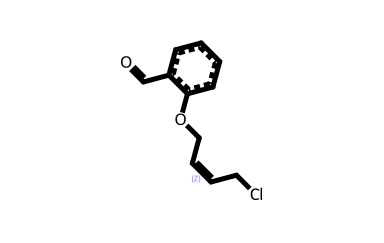 O=Cc1ccccc1OC/C=C\CCl